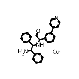 NC(c1ccccc1)C(NC(C=O)c1cccc(-c2ccncc2)c1)c1ccccc1.[Cu]